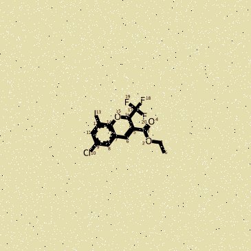 CCOC(=O)C1=Cc2cc(Cl)cc(I)c2OC1C(F)(F)F